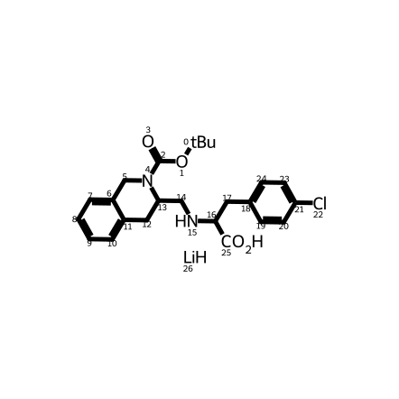 CC(C)(C)OC(=O)N1Cc2ccccc2CC1CNC(Cc1ccc(Cl)cc1)C(=O)O.[LiH]